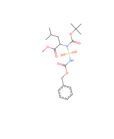 COC(=O)C(CC(C)C)N(C(=O)OC(C)(C)C)S(=O)(=O)NC(=O)OCc1ccccc1